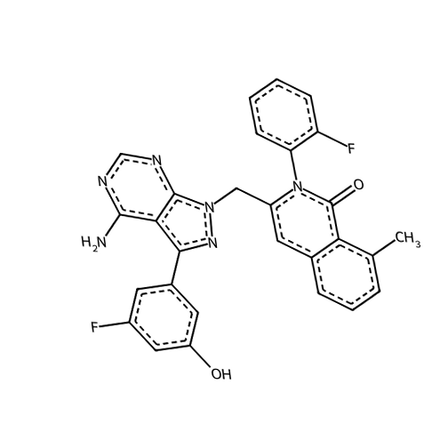 Cc1cccc2cc(Cn3nc(-c4cc(O)cc(F)c4)c4c(N)ncnc43)n(-c3ccccc3F)c(=O)c12